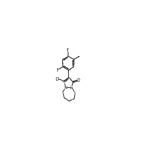 Cc1cc(-c2c(Cl)n3n(c2=O)CCCCC3)c(F)cc1F